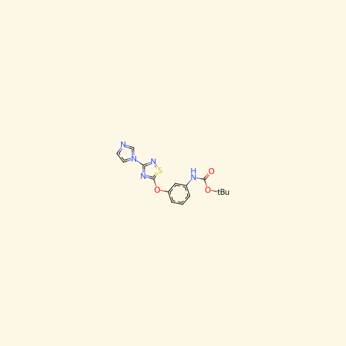 CC(C)(C)OC(=O)Nc1cccc(Oc2nc(-n3ccnc3)ns2)c1